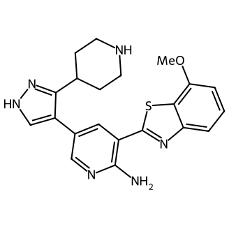 COc1cccc2nc(-c3cc(-c4c[nH]nc4C4CCNCC4)cnc3N)sc12